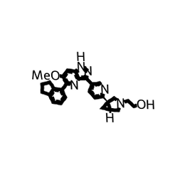 COc1cc2[nH]nc(-c3ccc([C@]45C[C@H]4CN(CCO)C5)nc3)c2nc1-c1cccc2c1CCC2